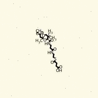 COC(=O)CC1(C)OCC(C)(C)[C@H](C(=O)NCCC(=O)NCCSC(=O)CCC(=O)O)O1